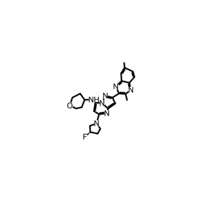 Cc1ccc2nc(C)c(-c3cc4nc(N5CC[C@@H](F)C5)cc(NC5CCOCC5)n4n3)nc2c1